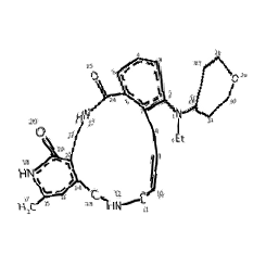 CCN(c1cccc2c1C/C=C\CNCc1cc(C)[nH]c(=O)c1CNC2=O)C1CCOCC1